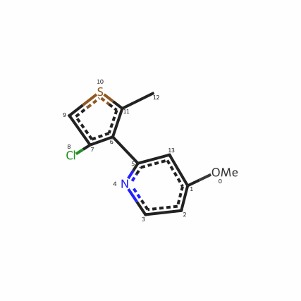 COc1ccnc(-c2c(Cl)csc2C)c1